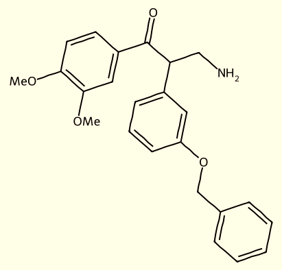 COc1ccc(C(=O)C(CN)c2cccc(OCc3ccccc3)c2)cc1OC